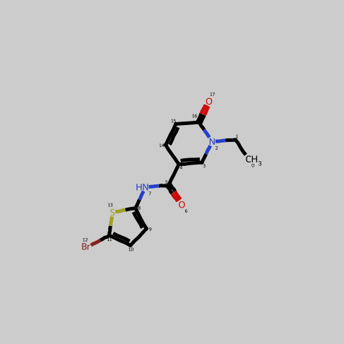 CCn1cc(C(=O)Nc2ccc(Br)s2)ccc1=O